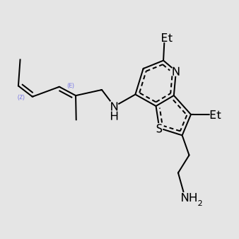 C/C=C\C=C(/C)CNc1cc(CC)nc2c(CC)c(CCN)sc12